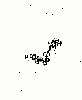 Cc1ccc(S(=O)(=O)NC(=O)Nc2cccc(C(=O)OCCCNC(=O)N(C)S)c2)cc1